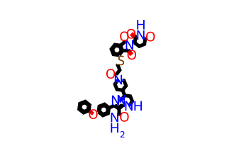 NC(=O)c1c(-c2ccc(Oc3ccccc3)cc2)nn2c1NCCC2C1CCN(C(=O)CCSc2cccc3c2C(=O)N(C2CCC(=O)NC2=O)C3=O)CC1